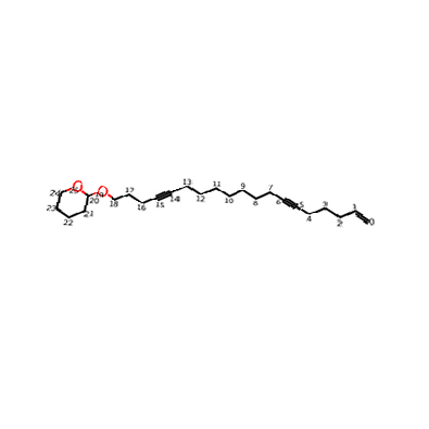 C=CCCCC#CCCCCCCCC#CCCCOC1CCCCO1